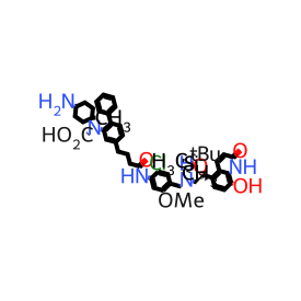 COc1cc(NC(=O)CCCc2ccc(-c3ccccc3)c(N(C(=O)O)C3(C)CCC(N)CC3)c2)c(Cl)cc1CNC[C@@H](O[Si](C)(C)C(C)(C)C)c1ccc(O)c2[nH]c(=O)ccc12